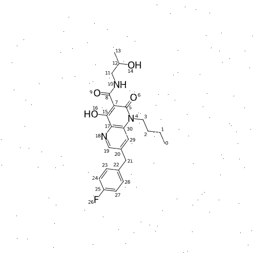 CCCCn1c(=O)c(C(=O)NCC(C)O)c(O)c2ncc(Cc3ccc(F)cc3)cc21